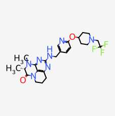 C[C@H]1C(=O)N2CCCc3nc(NCc4ccc(OC5CCN(CC(F)(F)F)CC5)nc4)nc(c32)N1C